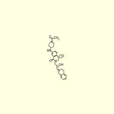 CC(=O)N1CCC(Nc2ccc3c(c2)C(=O)N(C[C@H](O)CN2CCc4ccccc4C2)CC32COC2)CC1